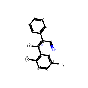 C/C(=C(/C=N)c1ccccc1)c1cc(C)ccc1C